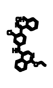 CCOc1ncc(Nc2ccc(C(=NO)c3ccccc3C)c(Cl)c2)c2ccccc12